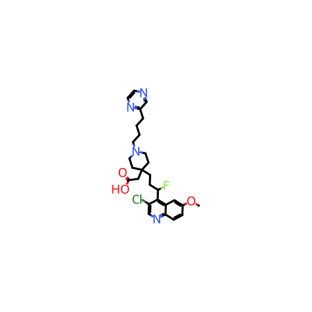 COc1ccc2ncc(Cl)c(C(F)CCC3(CC(=O)O)CCN(CCCCc4cnccn4)CC3)c2c1